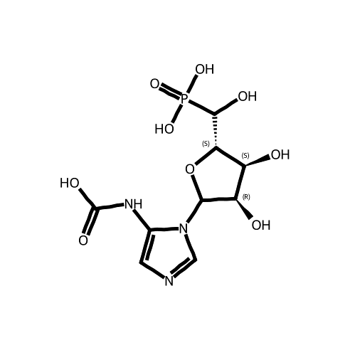 O=C(O)Nc1cncn1C1O[C@H](C(O)P(=O)(O)O)[C@@H](O)[C@H]1O